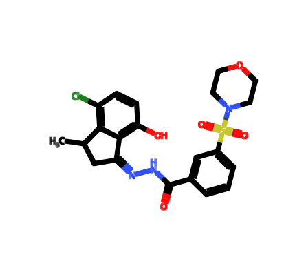 CC1C/C(=N/NC(=O)c2cccc(S(=O)(=O)N3CCOCC3)c2)c2c(O)ccc(Cl)c21